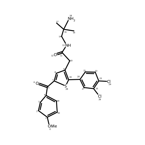 COc1ccc(C(=O)c2cc(CC(=O)NCC(C)(C)N)c(-c3ccc(Cl)c(Cl)c3)s2)cc1